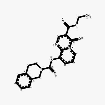 CCOC(=O)c1cnc2c(SC(=O)N3CCc4ccccc4C3)cccn2c1=O